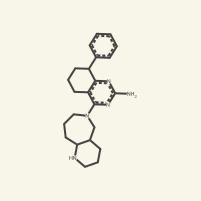 Nc1nc2c(c(N3CCCC4NCCCC4C3)n1)CCCC2c1ccccc1